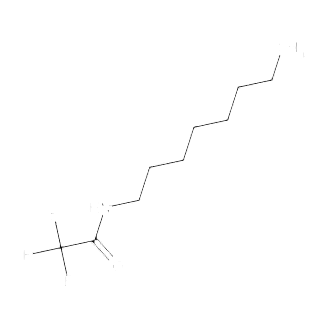 CCCCCCCCNC(=O)C(F)(F)F